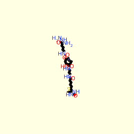 NNC(=O)C(N)CCCCNC(=O)O[C@H]1/C=C/CC[C@@](O)(C(=O)NCCCNC(=O)CCCCC2SCC3NC(=O)NC32)CC1